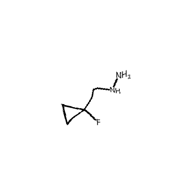 NNCC1(F)CC1